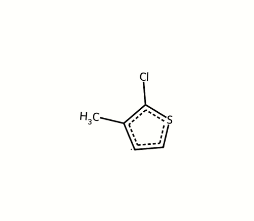 Cc1[c]csc1Cl